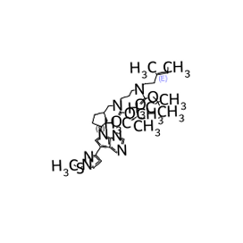 C/C=C(\C)CCN(CCCN(CC1CC[C@H](n2cc(-c3ccn(SC)n3)c3cncnc32)C1)C(=O)OC(C)(C)C)C(=O)OC(C)(C)C